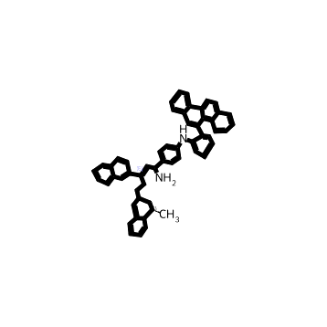 C[C@H]1CC(CC/C(=C\C(N)c2ccc(Nc3ccccc3-c3cc4ccccc4c4ccc5ccccc5c34)cc2)c2ccc3ccccc3c2)C=C2C=CC=CC21